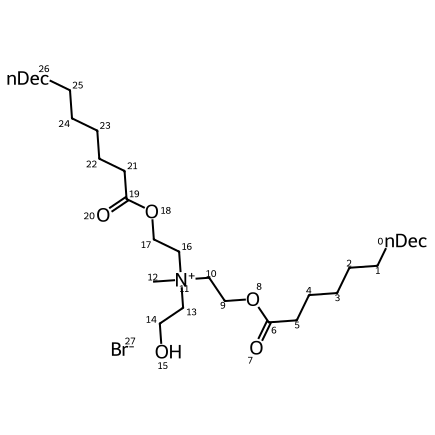 CCCCCCCCCCCCCCCC(=O)OCC[N+](C)(CCO)CCOC(=O)CCCCCCCCCCCCCCC.[Br-]